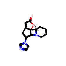 O=C1C=C2CC(n3ccnc3)C3N4CCCC[C@@H]4[C@@]23O1